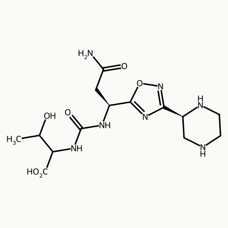 CC(O)C(NC(=O)N[C@@H](CC(N)=O)c1nc([C@@H]2CNCCN2)no1)C(=O)O